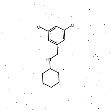 Clc1cc(Cl)cc(CNC2CCCCC2)c1